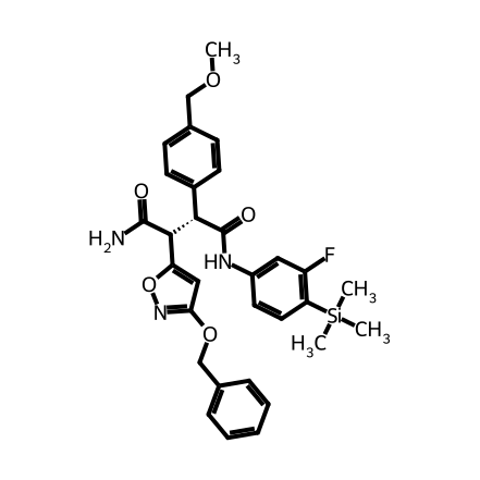 COCc1ccc([C@H](C(=O)Nc2ccc([Si](C)(C)C)c(F)c2)C(C(N)=O)c2cc(OCc3ccccc3)no2)cc1